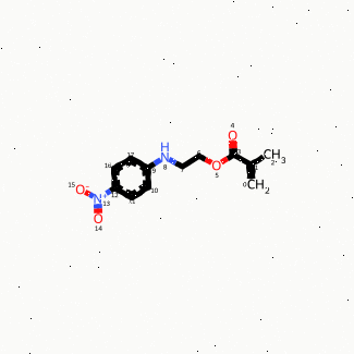 C=C(C)C(=O)OCCNc1ccc([N+](=O)[O-])cc1